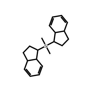 C[Si](C)(C1CCC2C=CC=CC21)C1CCC2C=CC=CC21